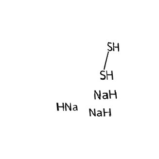 SS.[NaH].[NaH].[NaH]